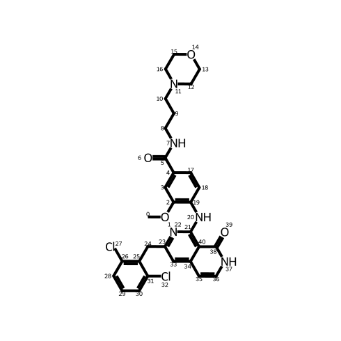 COc1cc(C(=O)NCCCN2CCOCC2)ccc1Nc1nc(Cc2c(Cl)cccc2Cl)cc2cc[nH]c(=O)c12